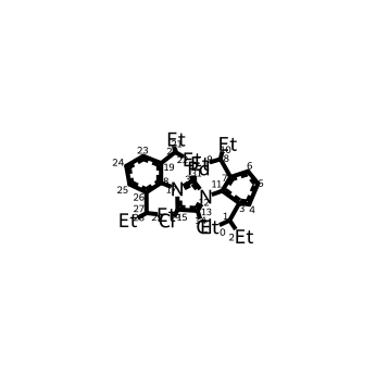 CCC(CC)c1cccc(C(CC)CC)c1-n1c(Cl)c(Cl)n(-c2c(C(CC)CC)cccc2C(CC)CC)[c]1=[Pd]